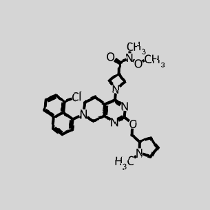 CON(C)C(=O)C1CN(c2nc(OCC3CCCN3C)nc3c2CCN(c2cccc4cccc(Cl)c24)C3)C1